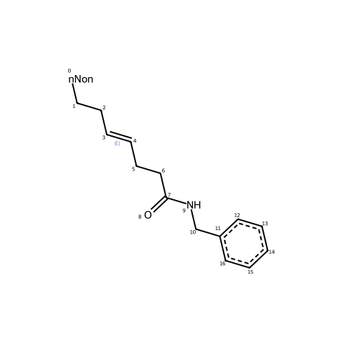 CCCCCCCCCCC/C=C/CCC(=O)NCc1ccccc1